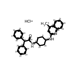 Cc1cc(NC2CCC(NC(=O)C(c3ccccc3)c3ccccc3)CC2)nc2ccccc12.Cl